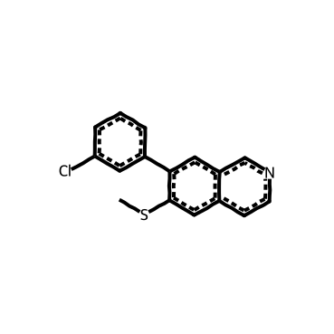 CSc1cc2ccncc2cc1-c1cccc(Cl)c1